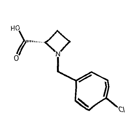 O=C(O)[C@@H]1CCN1Cc1ccc(Cl)cc1